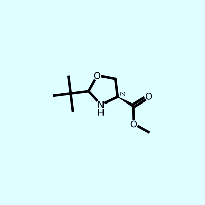 COC(=O)[C@@H]1COC(C(C)(C)C)N1